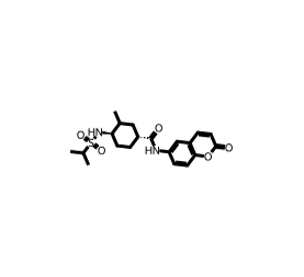 CC1C[C@H](C(=O)Nc2ccc3oc(=O)ccc3c2)CC[C@H]1NS(=O)(=O)C(C)C